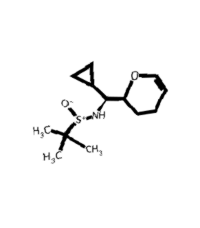 CC(C)(C)[S+]([O-])N[C@@H](C1CC1)C1CCC=CO1